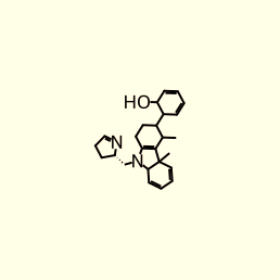 CC1C2=C(CCC1C1C=CC=CC1O)N(C[C@@H]1CCC=N1)C1C=CC=CC21C